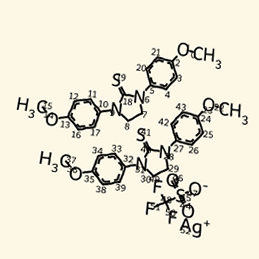 COc1ccc(N2CCN(c3ccc(OC)cc3)C2=S)cc1.COc1ccc(N2CCN(c3ccc(OC)cc3)C2=S)cc1.O=S(=O)([O-])C(F)(F)F.[Ag+]